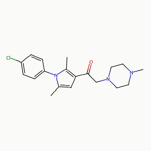 Cc1cc(C(=O)CN2CCN(C)CC2)c(C)n1-c1ccc(Cl)cc1